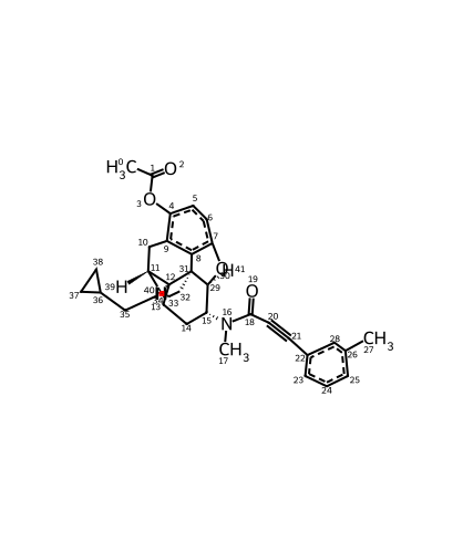 CC(=O)Oc1ccc2c3c1C[C@@H]1[C@@H]4CC[C@@H](N(C)C(=O)C#Cc5cccc(C)c5)[C@H](O2)[C@]34CCN1CC1CC1